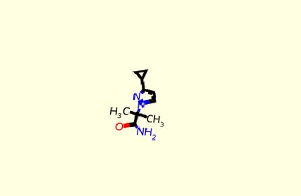 CC(C)(C(N)=O)n1ccc(C2CC2)n1